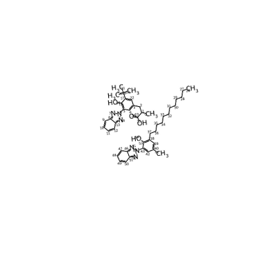 CC(Cc1cc(-n2nc3ccccc3n2)c(O)c(C(C)(C)C)c1)C(=O)O.CCCCCCCCCCCCc1cc(C)cc(-n2nc3ccccc3n2)c1O